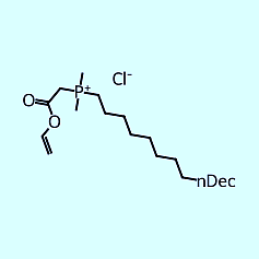 C=COC(=O)C[P+](C)(C)CCCCCCCCCCCCCCCCCC.[Cl-]